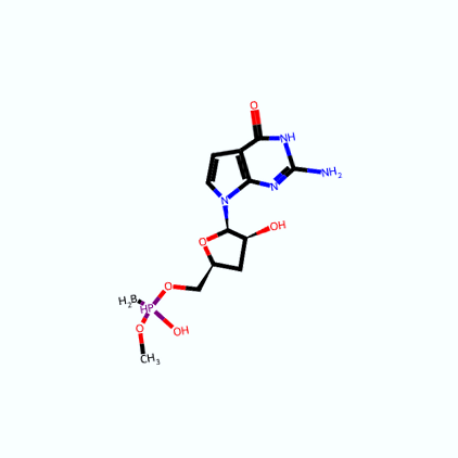 B[PH](O)(OC)OC[C@@H]1C[C@H](O)[C@H](n2ccc3c(=O)[nH]c(N)nc32)O1